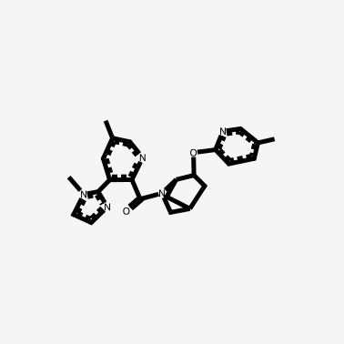 Cc1ccc(OC2CC3CC2N(C(=O)c2ncc(C)cc2-c2nccn2C)C3)nc1